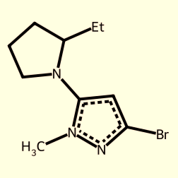 CCC1CCCN1c1cc(Br)nn1C